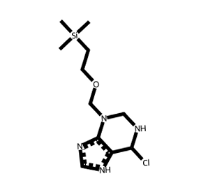 C[Si](C)(C)CCOCN1CNC(Cl)c2[nH]cnc21